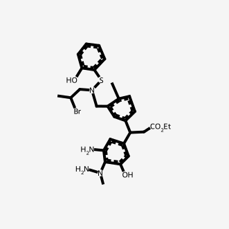 CCOC(=O)CC(c1cc(N)c(N(C)N)c(O)c1)c1ccc(C)c(CN(CC(C)Br)Sc2ccccc2O)c1